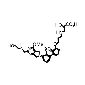 COc1nc(CNCCO)nc2c1CN(c1cccc(-c3cccc(OCCCNCC(O)C(=O)O)c3C#N)c1C)C2